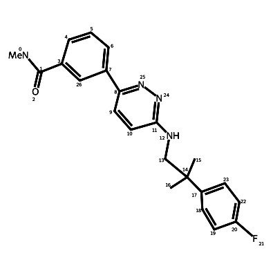 CNC(=O)c1cccc(-c2ccc(NCC(C)(C)c3ccc(F)cc3)nn2)c1